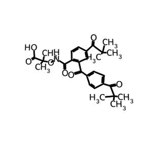 CC(C)(C)C(=O)c1ccc(C(=O)c2cc(C(=O)C(C)(C)C)ccc2C(=O)NOC(C)(C)C(=O)O)cc1